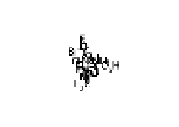 CC(C)(NC(=O)O)C(=O)NC(CCc1ccc(F)cc1Br)C(=O)N1CCC2=NN(CC(F)(F)F)C(=O)C2(Cc2ccccn2)C1